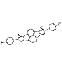 Fc1ccc(-c2cc3c(s2)-c2ccc4c5c(ccc-3c25)-c2cc(-c3ccc(F)cc3)sc2-4)cc1